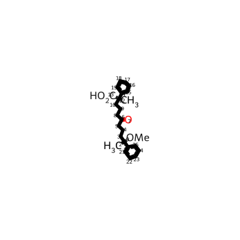 COC(C)(CCCC(=O)CCCC(C)(C(=O)O)c1ccccc1)c1ccccc1